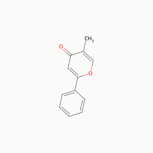 Cc1coc(-c2ccccc2)cc1=O